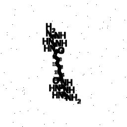 N=C(N)NC(=N)NC(=O)CCCCCCC(=O)NC(=N)NC(=N)N